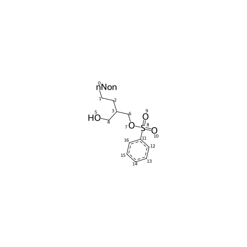 CCCCCCCCCCCC(CO)COS(=O)(=O)c1ccccc1